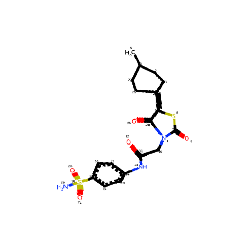 CC1CCC(=C2SC(=O)N(CC(=O)Nc3ccc(S(N)(=O)=O)cc3)C2=O)CC1